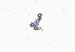 CC1CC2CC(N(Cc3ccccc3)C(=O)Nc3cccc(C(F)(F)F)c3)CC1N2Cc1ccccc1